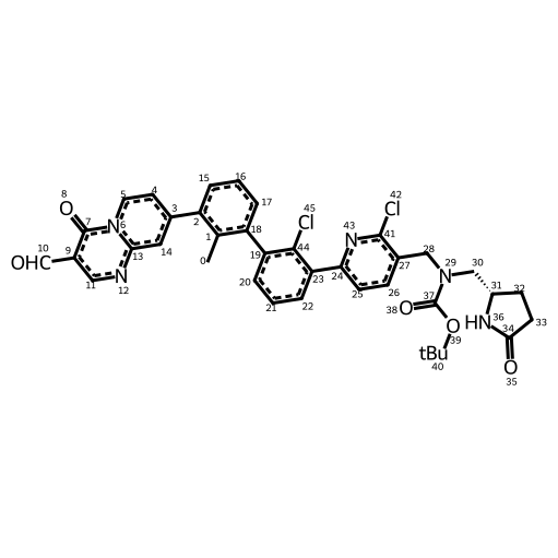 Cc1c(-c2ccn3c(=O)c(C=O)cnc3c2)cccc1-c1cccc(-c2ccc(CN(C[C@@H]3CCC(=O)N3)C(=O)OC(C)(C)C)c(Cl)n2)c1Cl